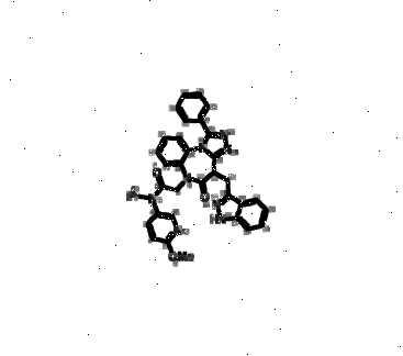 COc1ccc(N(C(=O)CN2C(=O)C(Cc3n[nH]c4ccccc34)c3nnc(-c4ccccc4)n3-c3ccccc32)C(C)C)cn1